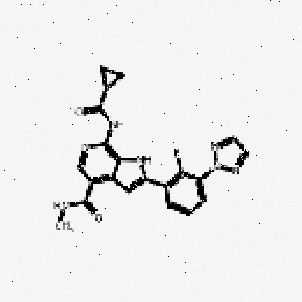 CNC(=O)c1cnc(NC(=O)C2CC2)c2[nH]c(-c3cccc(-n4nccn4)c3F)cc12